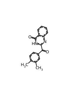 Cc1ccc(C(=O)c2nc3ccccc3c(=O)[nH]2)cc1C